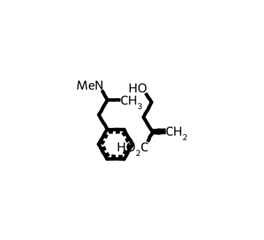 C=C(CCO)C(=O)O.CNC(C)Cc1ccccc1